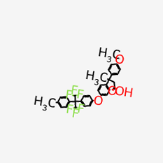 COc1ccc(C(C)(CC(=O)O)c2ccc(Oc3ccc(C(c4ccc(C)cc4)(C(F)(F)F)C(F)(F)F)cc3)cc2)cc1